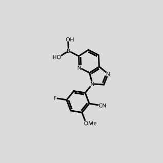 COc1cc(F)cc(-n2cnc3ccc(B(O)O)nc32)c1C#N